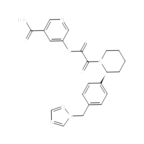 C[C@@H]1CC[C@@H](c2ccc(Cn3cncn3)cc2)N(C(=O)C(=O)Nc2cncc(C(N)=O)c2)C1